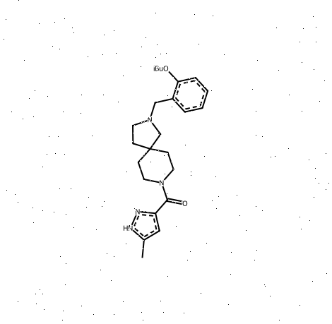 Cc1cc(C(=O)N2CCC3(CCN(Cc4ccccc4OCC(C)C)C3)CC2)n[nH]1